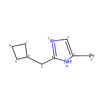 CC(C)c1cnc(CC2CCC2)[nH]1